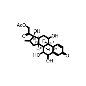 CC(=O)OCC(=O)[C@@]1(O)C(C)C[C@H]2[C@@H]3C(O)C(O)C4=CC(=O)C=C[C@]4(C)[C@@]3(F)C(O)C[C@@]21C